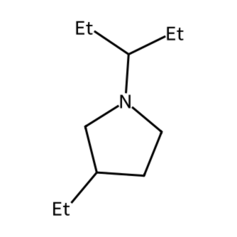 CCC1CCN(C(CC)CC)C1